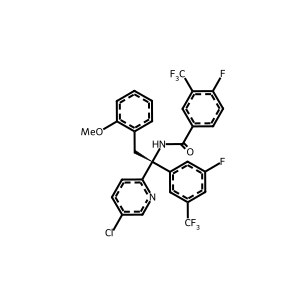 COc1ccccc1C[C@@](NC(=O)c1ccc(F)c(C(F)(F)F)c1)(c1cc(F)cc(C(F)(F)F)c1)c1ccc(Cl)cn1